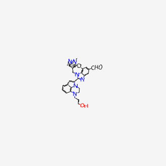 COc1cc(C=O)cc2nc(-c3cc4cccc5c4n3CCN5CCCO)n(Cc3cnn(C)c3)c12